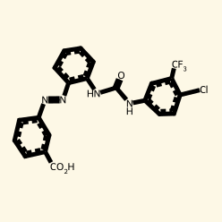 O=C(Nc1ccc(Cl)c(C(F)(F)F)c1)Nc1ccccc1N=Nc1cccc(C(=O)O)c1